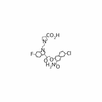 NC(=O)c1cc2cc(Cl)ccc2cc1OCC(=O)c1cn(CCN2CC[C@H](C(=O)O)C2)c2cc(F)ccc12